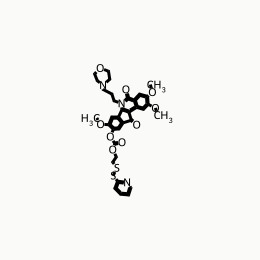 COc1cc2c3c(n(CCCN4CCOCC4)c(=O)c2cc1OC)-c1cc(OC)c(OC(=O)OCCSSc2ccccn2)cc1C3=O